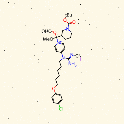 COC(OC=O)(C1CCCN(C(=O)OC(C)(C)C)C1)[n+]1ccc(N(CCCCCCOc2ccc(Cl)cc2)C(N)=NC#N)cc1.[I-]